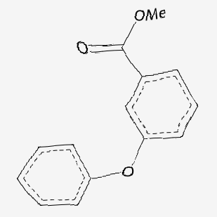 COC(=O)c1cccc(Oc2ccccc2)c1